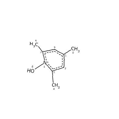 Cc1cc(C)[n+](O)c(C)c1